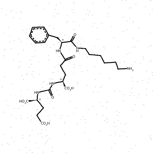 NCCCCCCNC(=O)[C@H](Cc1ccccc1)NC(=O)CC[C@H](NC(=O)N[C@@H](CCC(=O)O)C(=O)O)C(=O)O